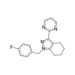 Fc1ccc(Cn2nc(-c3ncccn3)c3c2CCCC3)cc1